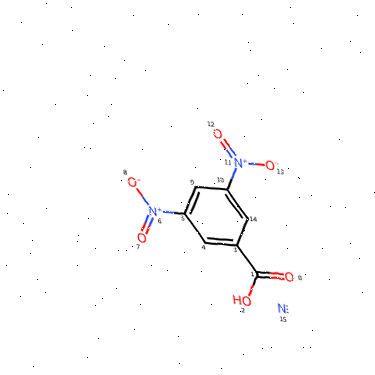 O=C(O)c1cc([N+](=O)[O-])cc([N+](=O)[O-])c1.[N]